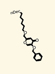 CCCCCCCCCCCCCCCCOCc1cc(=O)c(OCc2ccccc2)co1